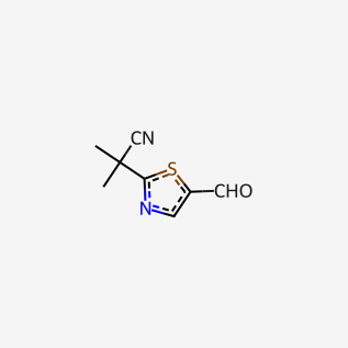 CC(C)(C#N)c1ncc(C=O)s1